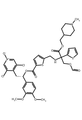 COc1ccc([C@H](Cc2c(Cl)c[n+]([O-])cc2Cl)OC(=O)c2ccc(CNC(COC=O)(C(=O)OCC3CCN(C)CC3)c3cccs3)s2)cc1OC